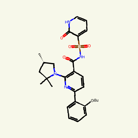 CC(C)COc1ccccc1-c1ccc(C(=O)NS(=O)(=O)c2ccc[nH]c2=O)c(N2C[C@@H](C)CC2(C)C)n1